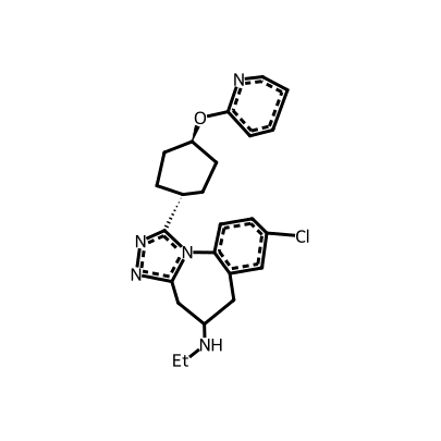 CCNC1Cc2cc(Cl)ccc2-n2c(nnc2[C@H]2CC[C@H](Oc3ccccn3)CC2)C1